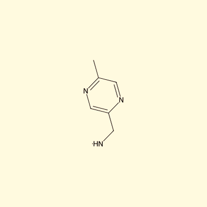 Cc1cnc(C[NH])cn1